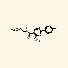 COCCNC(=O)c1cnc(-c2ccc(F)cc2)nc1N